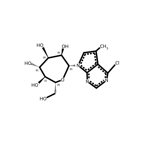 Cc1cn([C@@H]2O[C@H](CO)[C@@H](O)[C@H](O)[C@@H](O)[C@H]2O)c2ncnc(Cl)c12